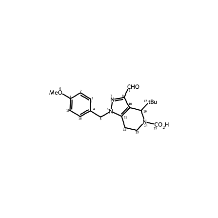 COc1ccc(Cn2nc(C=O)c3c2CCN(C(=O)O)C3C(C)(C)C)cc1